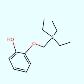 CC[Si](CC)(CC)COc1ccccc1O